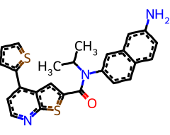 CC(C)N(C(=O)c1cc2c(-c3cccs3)ccnc2s1)c1ccc2ccc(N)cc2c1